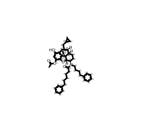 CC(=O)Oc1cc(O)c2c3c1O[C@H]1[C@H](N(CCCCc4ccccc4)C(=O)CCCCCc4ccccc4)CC[C@H]4[C@@H](C2)N(CC2CC2)CC[C@@]341